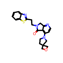 O=C1c2c(N3CCC4(COC4)C3)ccnc2CN1CCc1nc2ccccc2s1